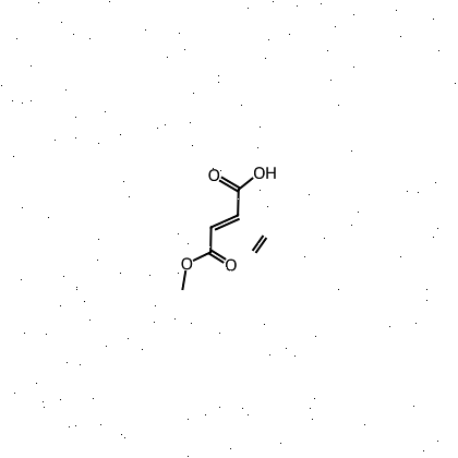 C=C.COC(=O)C=CC(=O)O